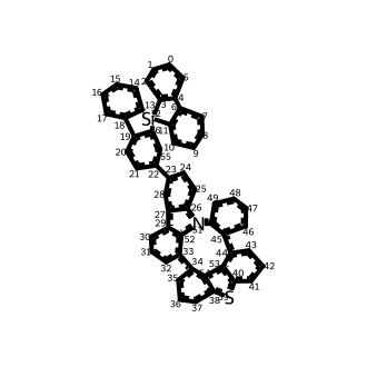 c1ccc2c(c1)-c1ccccc1[Si]21c2ccccc2-c2ccc(-c3ccc4c(c3)c3cccc5c6cccc7sc8cccc(c9ccccc9n4c53)c8c76)cc21